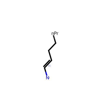 CCCCC/C=C/[N]